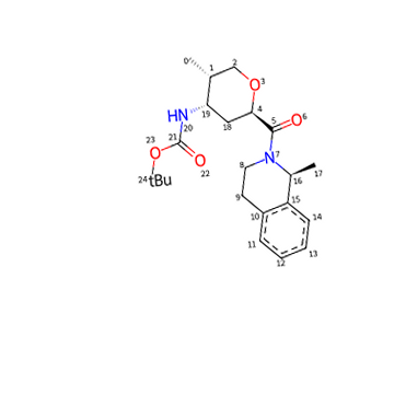 C[C@@H]1CO[C@@H](C(=O)N2CCc3ccccc3[C@@H]2C)C[C@@H]1NC(=O)OC(C)(C)C